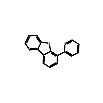 [c]1ccc2sc3c(-c4ccccn4)cccc3c2c1